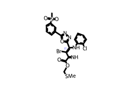 CSCOC(=O)C(=N)/C(Br)=C(\Nc1ccccc1Cl)c1nnc(-c2cccc(S(C)(=O)=O)c2)o1